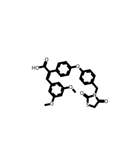 COc1cc(/C=C(/C(=O)O)c2ccc(Oc3ccc(CN4C(=O)CSC4=O)cc3)cc2)cc(OC)c1